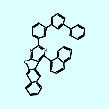 c1ccc(-c2cccc(-c3cccc(-c4nc(-c5cccc6ccccc56)c5c(n4)oc4cc6ccccc6cc45)c3)c2)cc1